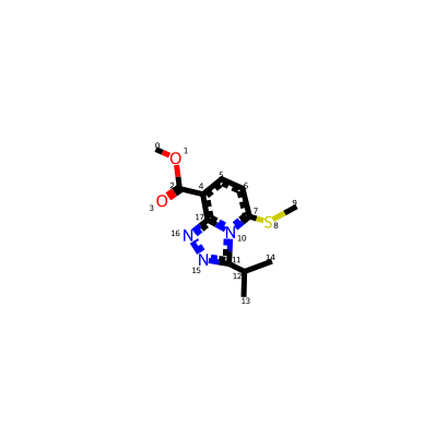 COC(=O)c1ccc(SC)n2c(C(C)C)nnc12